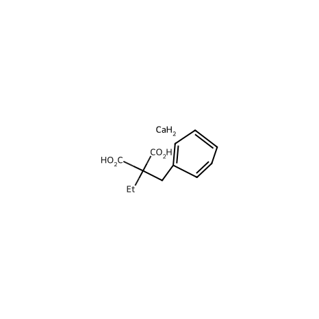 CCC(Cc1ccccc1)(C(=O)O)C(=O)O.[CaH2]